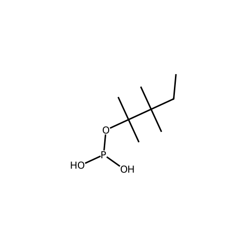 CCC(C)(C)C(C)(C)OP(O)O